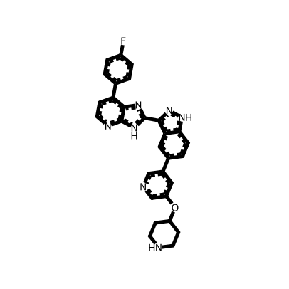 Fc1ccc(-c2ccnc3[nH]c(-c4n[nH]c5ccc(-c6cncc(OC7CCNCC7)c6)cc45)nc23)cc1